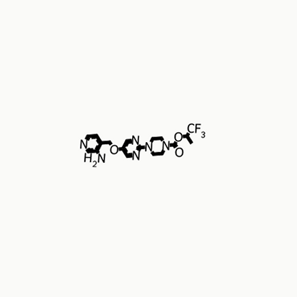 CC(OC(=O)N1CCN(c2ncc(OCc3ccncc3N)cn2)CC1)C(F)(F)F